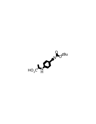 C[C@H](Nc1ccc(C#[N+]C(=O)OC(C)(C)C)cc1)C(=O)O